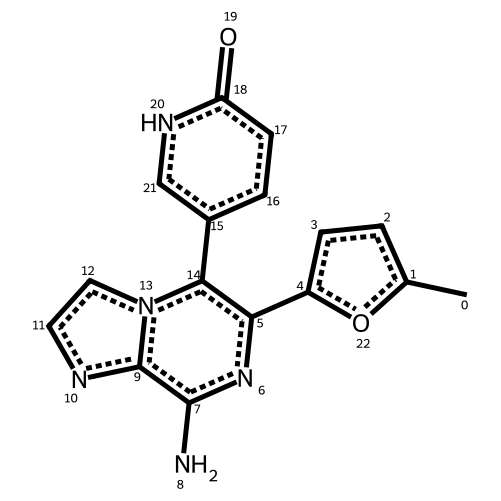 Cc1ccc(-c2nc(N)c3nccn3c2-c2ccc(=O)[nH]c2)o1